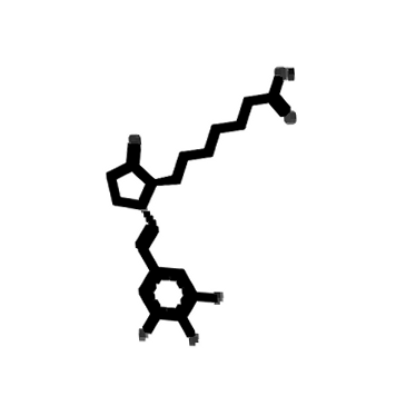 O=C(O)CCCCCC[C@@H]1C(=O)CC[C@H]1C=Cc1cc(F)c(F)c(F)c1